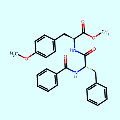 COC(=O)[C@H](Cc1ccc(OC)cc1)NC(=O)[C@H](Cc1ccccc1)NC(=O)c1ccccc1